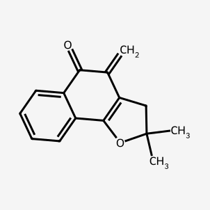 C=C1C(=O)c2ccccc2C2=C1CC(C)(C)O2